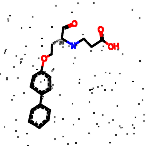 O=C[C@@H](CCOc1ccc(-c2ccccc2)cc1)[N]CCC(=O)O